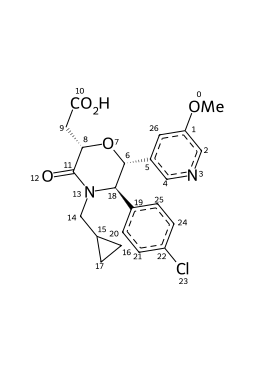 COc1cncc([C@H]2O[C@@H](CC(=O)O)C(=O)N(CC3CC3)[C@@H]2c2ccc(Cl)cc2)c1